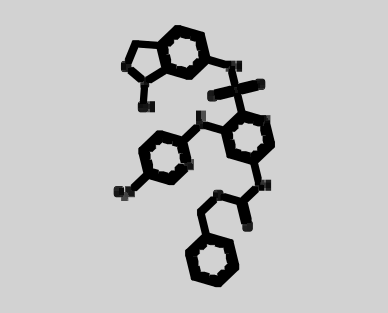 O=C(Nc1cnc(S(=O)(=O)Nc2ccc3c(c2)B(O)OC3)c(Nc2ccc([N+](=O)[O-])cn2)c1)OCc1ccccc1